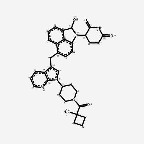 CC1(C(=O)N2CCC(n3cc(Cc4ccc5c6c(cccc46)C(O)N5C4CCC(=O)NC4=O)c4cccnc43)CC2)CCC1